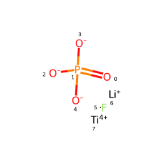 O=P([O-])([O-])[O-].[F].[Li+].[Ti+4]